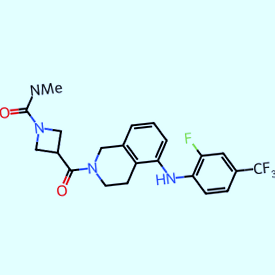 CNC(=O)N1CC(C(=O)N2CCc3c(cccc3Nc3ccc(C(F)(F)F)cc3F)C2)C1